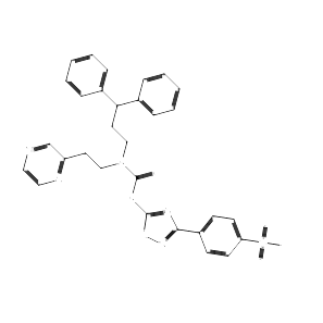 CS(=O)(=O)c1ccc(-c2nsc(NC(=O)N(CCc3cnccn3)CCC(c3ccccc3)c3ccccc3)n2)cc1